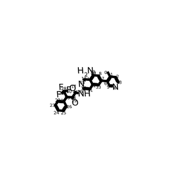 Cc1ccncc1-c1cc(N)c2cnc(NC(=O)C(=O)C(c3ccccc3)C(F)(F)F)cc2c1